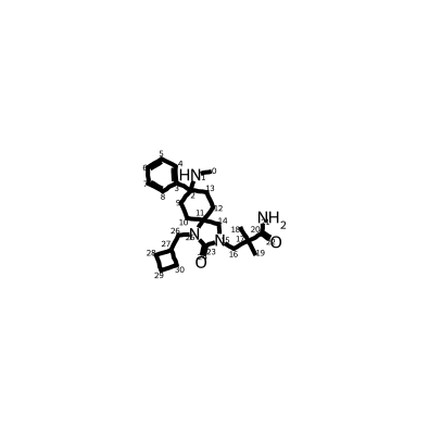 CNC1(c2ccccc2)CCC2(CC1)CN(CC(C)(C)C(N)=O)C(=O)N2CC1CCC1